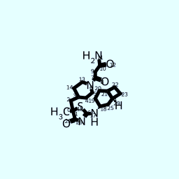 CC1(CC2CCN(C(=O)CC(N)=O)CC2)SC(N[C@@H]2CCC3CC[C@H]3C2)=NC1=O